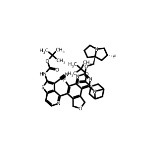 CC(C)(C)OC(=O)Nc1sc2ccnc(-c3c4c(c5c(N6C7CC6CN(C(=O)OC(C)(C)C)C7)nc(OC[C@@]67CCCN6C[C@H](F)C7)nc5c3F)COC4)c2c1C#N